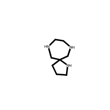 C1CNC2(C1)CNCCNC2